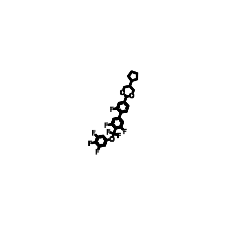 Fc1cc(C2OCC(C3CCCC3)CO2)ccc1-c1cc(F)c(C(F)(F)Oc2cc(F)c(F)c(F)c2)c(F)c1